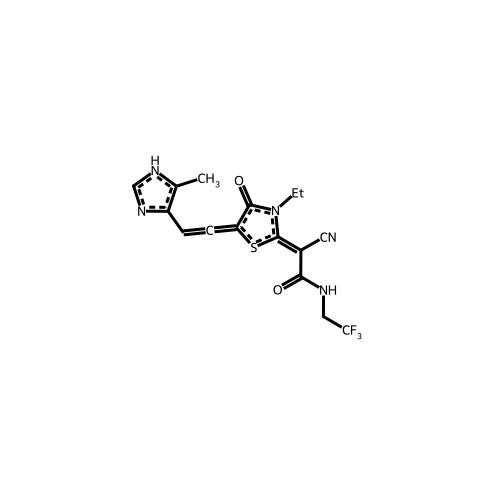 CCn1c(=O)c(=C=Cc2nc[nH]c2C)s/c1=C(/C#N)C(=O)NCC(F)(F)F